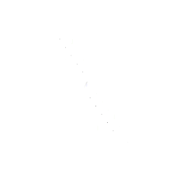 FC(F)(F)C(F)(F)C(F)(F)C(F)(F)C(F)(F)C(F)(F)/C=C(\I)C(F)(F)C(F)(F)C(F)(F)C(F)(F)C(F)(F)C(F)(F)F